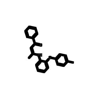 C/C(=C/C(=O)c1ccccc1)Nc1ccccc1Oc1ccc(C)cc1